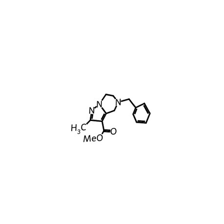 COC(=O)c1c(C)nn2c1CN(Cc1ccccc1)CC2